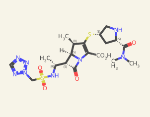 C[C@@H](NS(=O)(=O)Cn1ncnn1)[C@H]1C(=O)N2C(C(=O)O)=C(S[C@@H]3CN[C@H](C(=O)N(C)C)C3)[C@H](C)[C@H]12